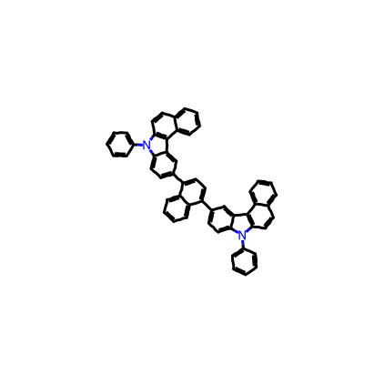 c1ccc(-n2c3ccc(-c4ccc(-c5ccc6c(c5)c5c7ccccc7ccc5n6-c5ccccc5)c5ccccc45)cc3c3c4ccccc4ccc32)cc1